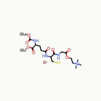 CC(C)(C)OC(=O)NC(CCC(=O)NC(CS)C(=O)NCC(=O)OCC[N+](C)(C)C)C(=O)OC(C)(C)C.[Br-]